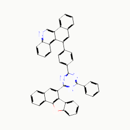 c1ccc(-c2nc(-c3ccc(-c4cc5ccccc5c5cnc6ccccc6c45)cc3)nc(-c3cc4ccccc4c4oc5ccccc5c34)n2)cc1